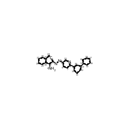 Nc1c(N=Nc2ccc(-c3cccc(-c4ccccc4)c3)nc2)ccc2ccccc12